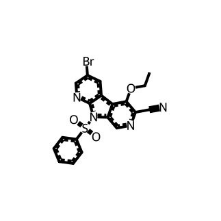 CCOc1c(C#N)ncc2c1c1cc(Br)cnc1n2S(=O)(=O)c1ccccc1